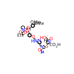 CCC(C)(C)C(=O)C(=O)N1CCCC[C@H]1C(=O)O[C@H](CCc1ccc(OC)c(OC)c1)c1cccc(OCCNc2cc(CN3C[C@@H](SC4=C(C(=O)O)N5C(=O)[C@H]([C@@H](C)O)[C@H]5[C@H]4C)C[C@H]3C(=O)N(C)C)ccn2)c1